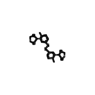 Cc1ccc(SSc2ccc(C)c(C3OCCO3)c2)cc1C1OCCO1